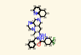 NCCCCN(CC1=NCCN(CC[C@H](NC(=O)C2CCC(F)(F)CC2)c2ccccc2)C1)[C@H]1CCCc2cccnc21